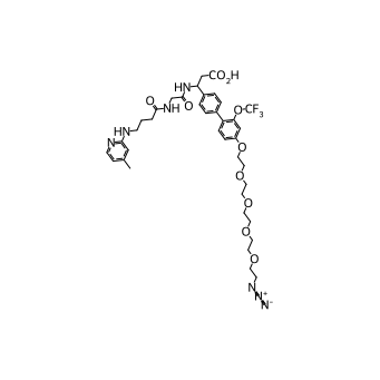 Cc1ccnc(NCCCC(=O)NCC(=O)NC(CC(=O)O)c2ccc(-c3ccc(OCCOCCOCCOCCOCCN=[N+]=[N-])cc3OC(F)(F)F)cc2)c1